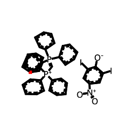 C(=P(c1ccccc1)(c1ccccc1)c1ccccc1)[P+](c1ccccc1)(c1ccccc1)c1ccccc1.O=[N+]([O-])c1cc(I)c([O-])c(I)c1